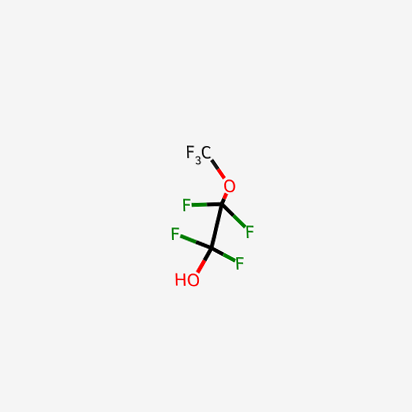 OC(F)(F)C(F)(F)OC(F)(F)F